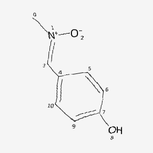 C[N+]([O-])=Cc1ccc(O)cc1